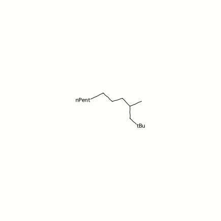 CCCCCCCCC(C)CC(C)(C)C